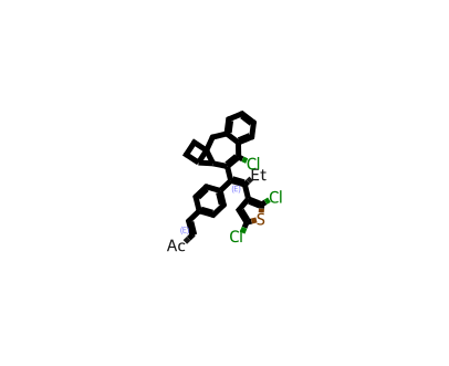 CC/C(=C(\C1=C(Cl)c2ccccc2CC23CCC2C13)c1ccc(/C=C/C(C)=O)cc1)c1cc(Cl)sc1Cl